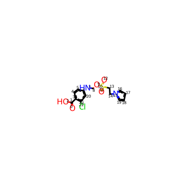 O=C(O)c1ccc(NCOS(=O)(=O)CCn2cccc2)cc1Cl